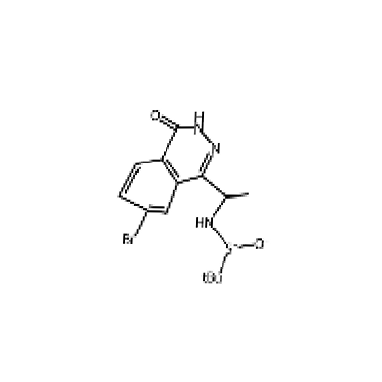 CC(N[S+]([O-])C(C)(C)C)c1n[nH]c(=O)c2ccc(Br)cc12